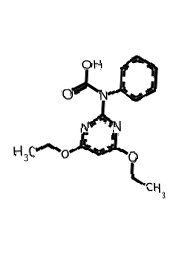 CCOc1cc(OCC)nc(N(C(=O)O)c2ccccc2)n1